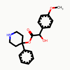 COc1ccc(C(O)C(=O)OC2(c3ccccc3)CCNCC2)cc1